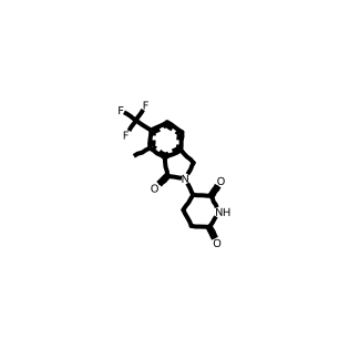 Cc1c(C(F)(F)F)ccc2c1C(=O)N(C1CCC(=O)NC1=O)C2